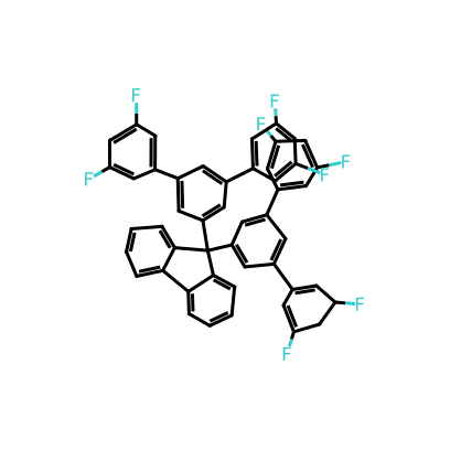 FC1=CC(c2cc(-c3cc(F)cc(F)c3)cc(C3(c4cc(-c5cc(F)cc(F)c5)cc(-c5cc(F)cc(F)c5)c4)c4ccccc4-c4ccccc43)c2)=CC(F)C1